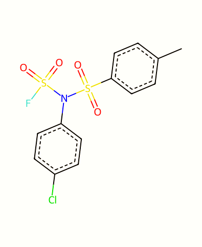 Cc1ccc(S(=O)(=O)N(c2ccc(Cl)cc2)S(=O)(=O)F)cc1